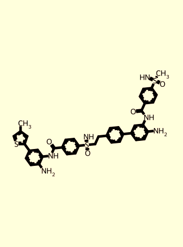 Cc1csc(-c2ccc(N)c(NC(=O)c3ccc(S(=N)(=O)CCc4ccc(-c5ccc(N)c(NC(=O)c6ccc(S(C)(=N)=O)cc6)c5)cc4)cc3)c2)c1